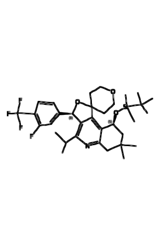 CC(C)c1nc2c(c3c1[C@@H](c1ccc(C(F)(F)F)c(F)c1)OC31CCOCC1)[C@@H](O[Si](C)(C)C(C)(C)C)CC(C)(C)C2